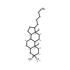 CC(C)(C)CCCCC1CCC2C3CCC4CC(O)(C(F)(F)F)CCC4(C)C3CCC12C